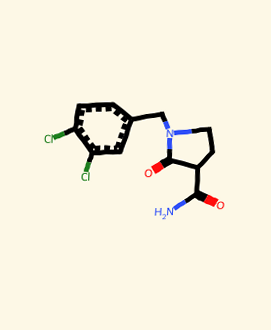 NC(=O)C1CCN(Cc2ccc(Cl)c(Cl)c2)C1=O